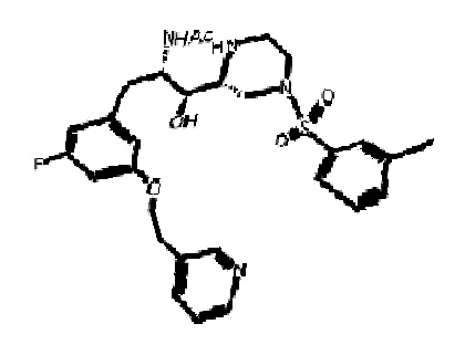 CC(=O)N[C@@H](Cc1cc(F)cc(OCc2cccnc2)c1)[C@H](O)[C@H]1CN(S(=O)(=O)c2cccc(C)c2)CCN1